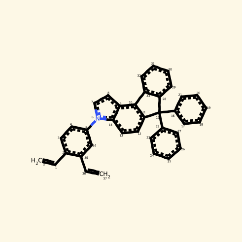 C=Cc1ccc(-n2ccc3c4c(ccc32)C(c2ccccc2)(c2ccccc2)c2ccccc2-4)cc1C=C